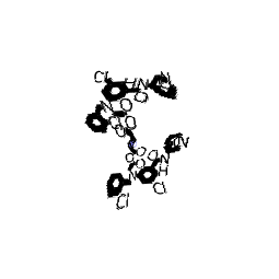 O=C(/C=C/C(=O)OC1CN(Cc2ccccc2Cl)c2cc(Cl)cc(C(=O)NC3CN4CCC3CC4)c2O1)OC1CN(Cc2ccccc2Cl)c2cc(Cl)cc(C(=O)NC3CN4CCC3CC4)c2O1